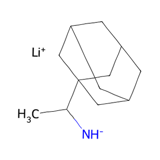 CC([NH-])C12CC3CC(CC(C3)C1)C2.[Li+]